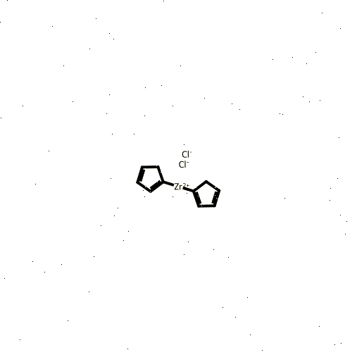 C1=CC[C]([Zr+2][C]2=CC=CC2)=C1.[Cl-].[Cl-]